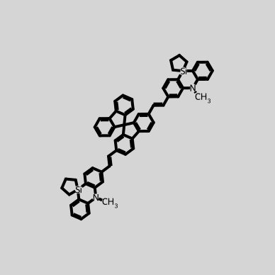 CN1c2ccccc2[Si]2(CCCC2)c2ccc(/C=C/c3ccc4c(c3)C3(c5ccccc5-c5ccccc53)c3cc(/C=C/c5ccc6c(c5)N(C)c5ccccc5[Si]65CCCC5)ccc3-4)cc21